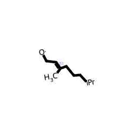 C/C(=C\C[O])CCCC(C)C